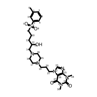 Cc1cccc(S(=O)(=O)CCCC(O)CN2CCN(CCCn3cnc4c3c(=O)n(C)c(=O)n4C)CC2)c1